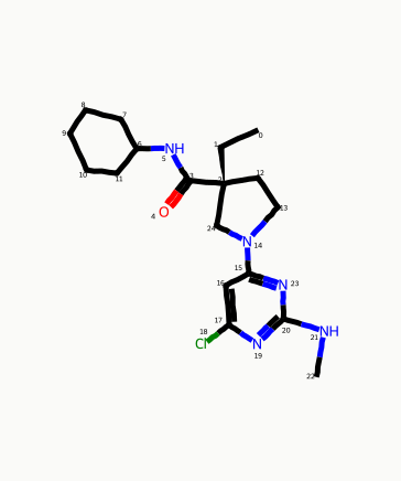 CC[C@@]1(C(=O)NC2CCCCC2)CCN(c2cc(Cl)nc(NC)n2)C1